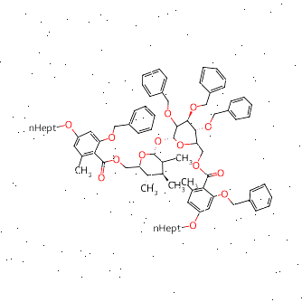 CCCCCCCOc1cc(C)c(C(=O)OCC2O[C@H](O[C@H]3OC(COC(=O)c4c(C)cc(OCCCCCCC)cc4OCc4ccccc4)[C@@H](OCc4ccccc4)[C@H](OCc4ccccc4)C3OCc3ccccc3)C(C)[C@@H](C)[C@@H]2C)c(OCc2ccccc2)c1